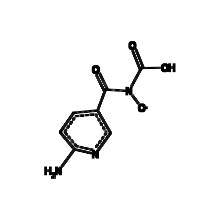 Nc1ccc(C(=O)N([O])C(=O)O)cn1